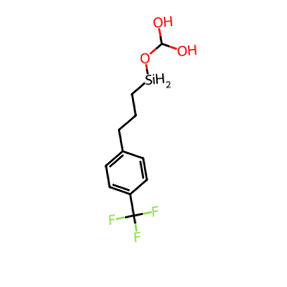 OC(O)O[SiH2]CCCc1ccc(C(F)(F)F)cc1